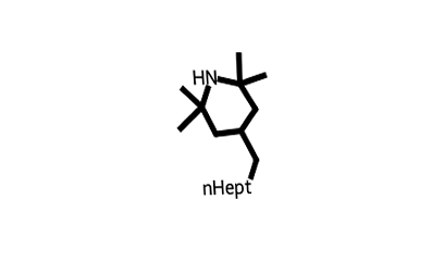 CCCCCCCCC1CC(C)(C)NC(C)(C)C1